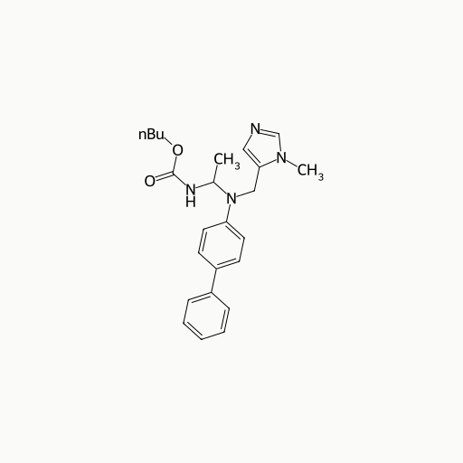 CCCCOC(=O)NC(C)N(Cc1cncn1C)c1ccc(-c2ccccc2)cc1